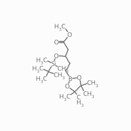 COC(=O)CC(CCB1OC(C)(C)C(C)(C)O1)O[Si](C)(C)C(C)(C)C